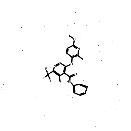 COc1ccc(Oc2nnc(C(F)(F)F)c(C)c2C(=O)Nc2ccccc2)c(C)n1